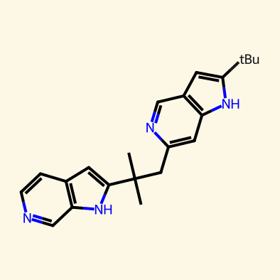 CC(C)(C)c1cc2cnc(CC(C)(C)c3cc4ccncc4[nH]3)cc2[nH]1